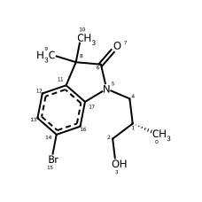 C[C@H](CO)CN1C(=O)C(C)(C)c2ccc(Br)cc21